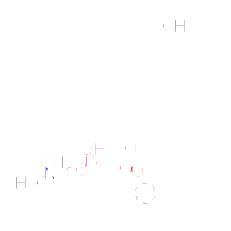 CCCCCCCCCCCCCCOc1ccccc1CC(COP(O)OCCN(C)C)OC=O